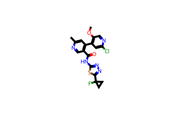 COc1cnc(Cl)cc1-c1cc(C)ncc1C(=O)Nc1nnc(C2(F)CC2)s1